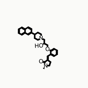 CN1CCC(=Cc2ccccc2OCC(O)CN2CCC(c3ccc4ccccc4c3)CC2)C1=O